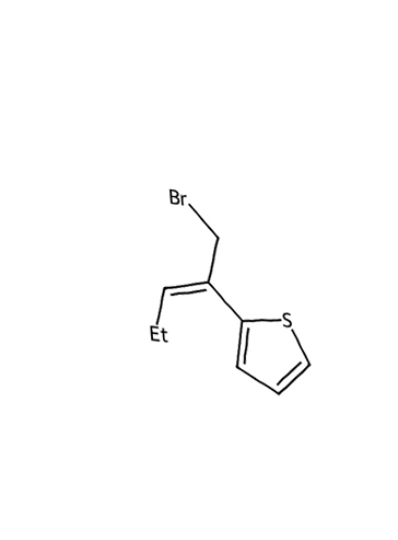 CC/C=C(/CBr)c1cccs1